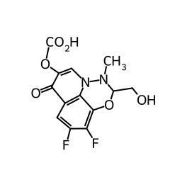 CN1C(CO)Oc2c(F)c(F)cc3c(=O)c(OC(=O)O)cn1c23